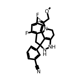 COCC(=O)N1CCC2=C(C1)C(Cc1ccc(F)cc1F)(c1cccc(C#N)c1)NN2